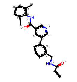 C=CC(=O)NCc1cccc(-c2cncc(C(=O)Nc3c(C)cccc3C)c2)c1